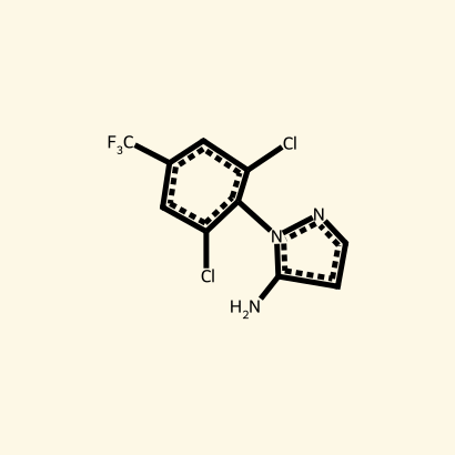 Nc1ccnn1-c1c(Cl)cc(C(F)(F)F)cc1Cl